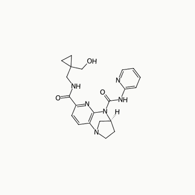 O=C(NCC1(CO)CC1)c1ccc2c(n1)N(C(=O)Nc1ccccn1)[C@H]1CCN2C1